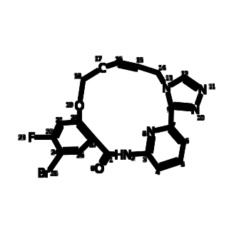 O=C1Nc2cccc(n2)-c2nncn2C/C=C\CCOc2cc(F)c(Br)cc21